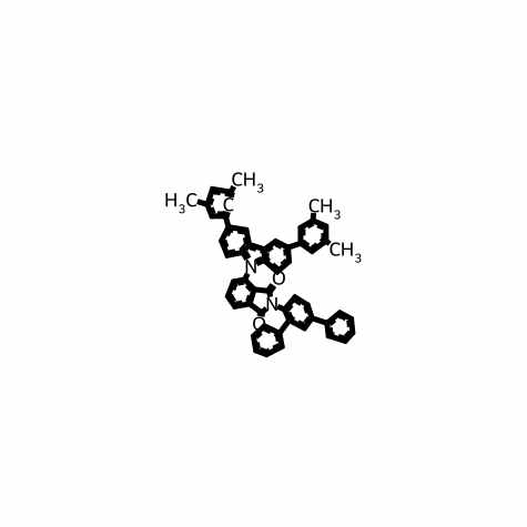 Cc1cc(C)cc(-c2ccc3c(c2)c2cc(-c4cc(C)cc(C)c4)ccc2n3-c2cccc3c2C(=O)N(c2ccc(-c4ccccc4)cc2-c2ccccc2)C3=O)c1